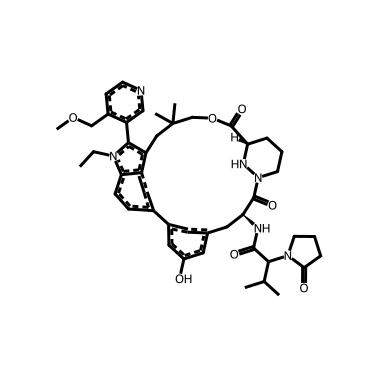 CCn1c(-c2cnccc2COC)c2c3cc(ccc31)-c1cc(O)cc(c1)C[C@H](NC(=O)C(C(C)C)N1CCCC1=O)C(=O)N1CCC[C@H](N1)C(=O)OCC(C)(C)C2